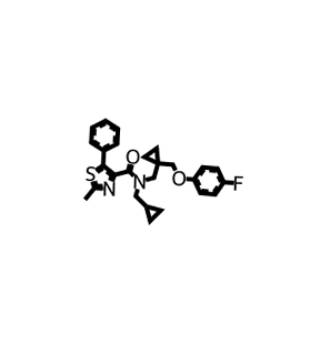 Cc1nc(C(=O)N(CC2CC2)CC2(COc3ccc(F)cc3)CC2)c(-c2ccccc2)s1